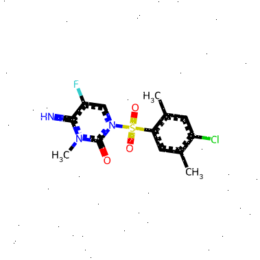 Cc1cc(S(=O)(=O)n2cc(F)c(=N)n(C)c2=O)c(C)cc1Cl